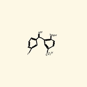 CNc1ccc(C(=O)O)cc1C(=N)c1cccc(F)c1